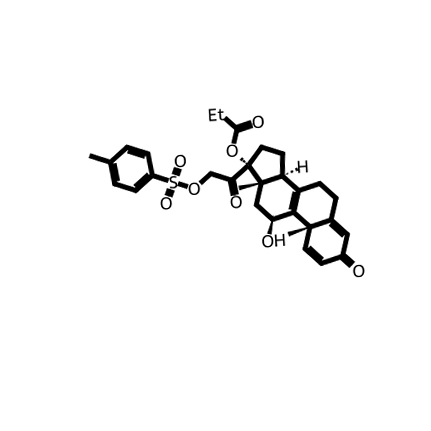 CCC(=O)O[C@]1(C(=O)COS(=O)(=O)c2ccc(C)cc2)CC[C@H]2C3=C([C@@H](O)C[C@@]21C)[C@@]1(C)C=CC(=O)C=C1CC3